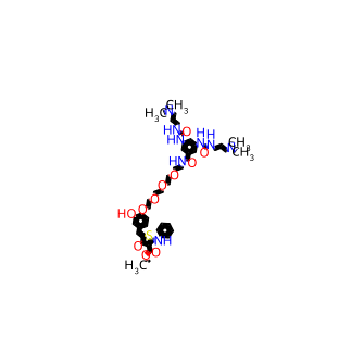 CCOC(=O)C1=C(Nc2ccccc2)S/C(=C\c2ccc(OCCOCCOCCOCCNC(=O)c3cc(NC(=O)NCCCN(C)C)cc(NC(=O)NCCCN(C)C)c3)c(O)c2)C1=O